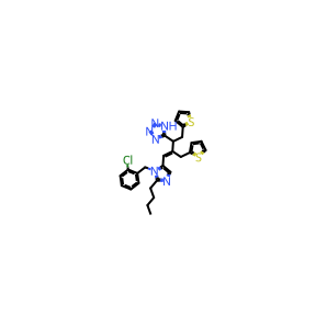 CCCCc1ncc(/C=C(\Cc2cccs2)C(Cc2cccs2)c2nnn[nH]2)n1Cc1ccccc1Cl